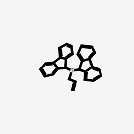 C=C[CH2][Ti]([CH]1c2ccccc2-c2ccccc21)[CH]1c2ccccc2-c2ccccc21